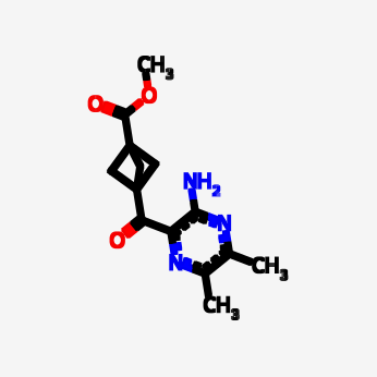 COC(=O)C12CC(C(=O)c3nc(C)c(C)nc3N)(C1)C2